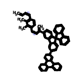 C=C/C=C\c1ccc(/C=C\C(=C)c2ccc3c(c2)-c2cc(-c4ccc5c6ccccc6c6ccccc6c5c4)ccc2C32c3ccccc3-c3ccccc32)c(C)c1C